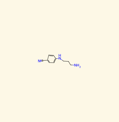 N#Cc1ccc(NCCCN)cc1